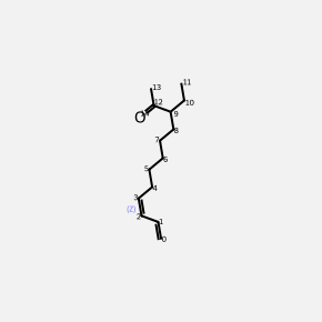 C=C/C=C\CCCCCC(CC)C(C)=O